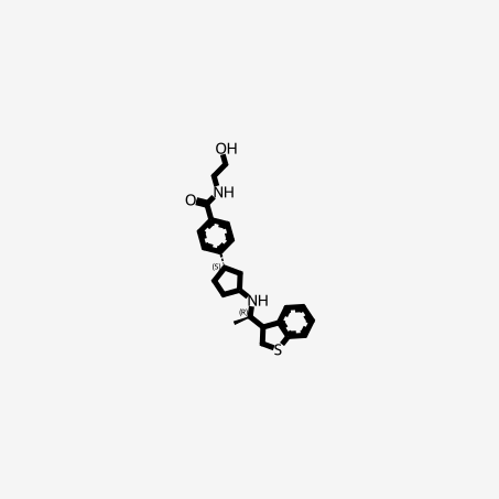 C[C@@H](NC1CC[C@H](c2ccc(C(=O)NCCO)cc2)C1)C1CSc2ccccc21